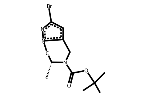 C[C@@H]1Cn2nc(Br)cc2CN1C(=O)OC(C)(C)C